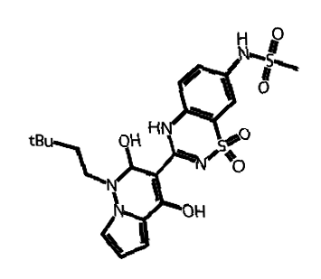 CC(C)(C)CCN1C(O)C(C2=NS(=O)(=O)c3cc(NS(C)(=O)=O)ccc3N2)=C(O)c2cccn21